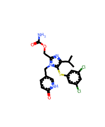 CC(C)c1nc(COC(N)=O)n(Cc2ccc(=O)[nH]c2)c1Sc1cc(Cl)cc(Cl)c1